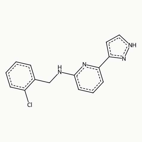 Clc1ccccc1CNc1cccc(-c2cc[nH]n2)n1